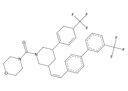 O=C(N1CCOCC1)N1CC(/C=C\c2ccc(-c3cccc(C(F)(F)F)c3)cc2)CC(C2=CCC(C(F)(F)F)C=C2)C1